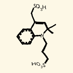 CC1(C)C=C(CS(=O)(=O)O)c2ccccc2N1CCCS(=O)(=O)O